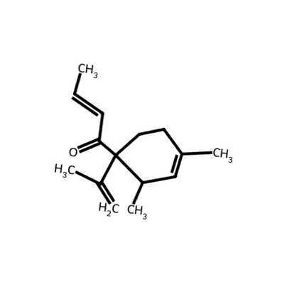 C=C(C)C1(C(=O)/C=C/C)CCC(C)=CC1C